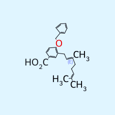 CC(C)=CCC/C(C)=C/Cc1cc(C(=O)O)ccc1OCc1ccccc1